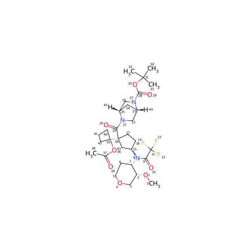 CO[C@@H]1COCC[C@@H]1N(C(=O)C(F)(F)F)[C@@H]1CC[C@@](C(=O)N2C[C@@H]3C[C@H]2CN3C(=O)OC(C)(C)C)(C2(OC(C)=O)CCC2)C1